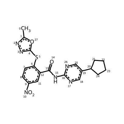 Cc1nnc(Sc2ccc([N+](=O)[O-])cc2C(=O)Nc2ncc(C3CCCC3)cn2)o1